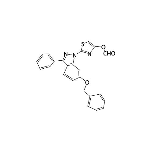 O=COc1csc(-n2nc(-c3ccccc3)c3ccc(OCc4ccccc4)cc32)n1